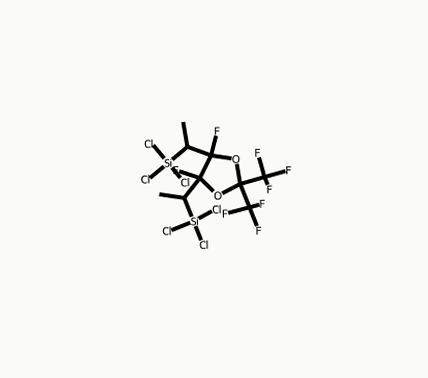 CC(C1(F)OC(C(F)(F)F)(C(F)(F)F)OC1(F)C(C)[Si](Cl)(Cl)Cl)[Si](Cl)(Cl)Cl